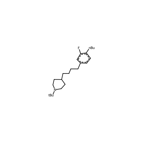 CCCCc1ccc(CCCCC2CCN(C(C)(C)C)CC2)cc1F